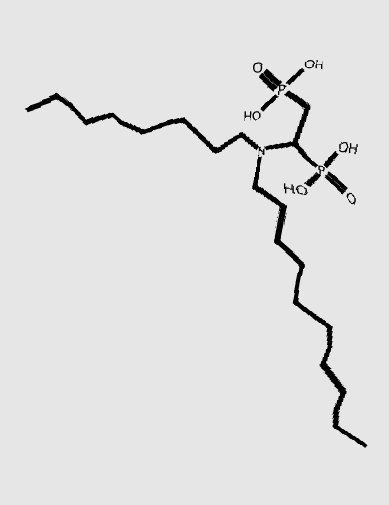 CCCCCCCCCCN(CCCCCCCC)C(CP(=O)(O)O)P(=O)(O)O